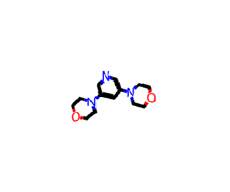 c1ncc(N2CCOCC2)cc1N1CCOCC1